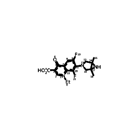 CCn1cc(C(=O)O)c(=O)c2cc(F)c(N3CC4(C)NC4(C)C3)c(F)c21